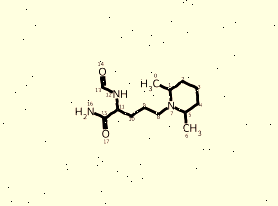 CC1CCCC(C)N1CCCC(NC=O)C(N)=O